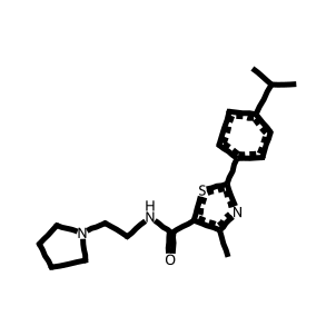 Cc1nc(-c2ccc(C(C)C)cc2)sc1C(=O)NCCN1CCCC1